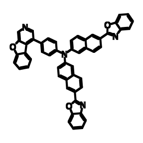 c1ccc2oc(-c3ccc4cc(N(c5ccc(-c6cncc7oc8ccccc8c67)cc5)c5ccc6cc(-c7nc8ccccc8o7)ccc6c5)ccc4c3)nc2c1